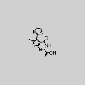 C=C(O)c1nc2sc(C)c(-c3nccs3)c2c(=O)[nH]1